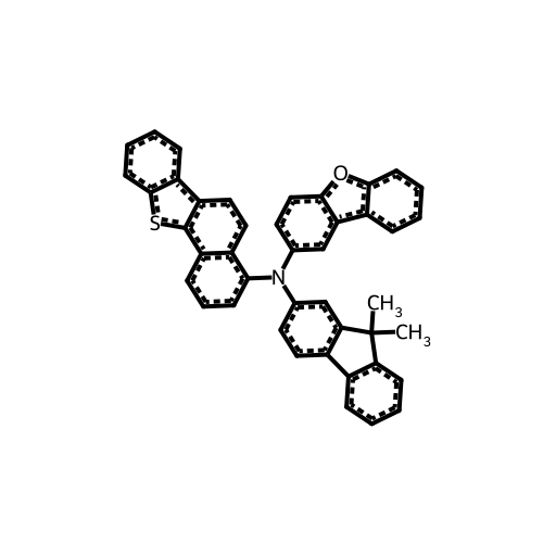 CC1(C)c2ccccc2-c2ccc(N(c3ccc4oc5ccccc5c4c3)c3cccc4c3ccc3c5ccccc5sc43)cc21